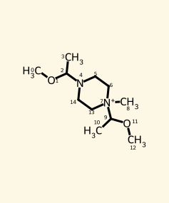 COC(C)N1CC[N+](C)(C(C)OC)CC1